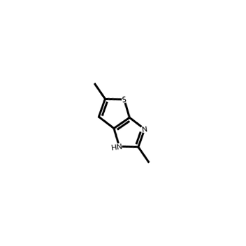 Cc1nc2sc(C)cc2[nH]1